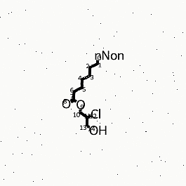 CCCCCCCCCCCCCCCC(=O)OCC(Cl)CO